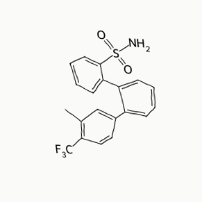 Cc1cc(-c2ccccc2-c2ccccc2S(N)(=O)=O)ccc1C(F)(F)F